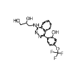 OCC(O)CNc1nnc(-c2ccc(OC(F)(F)F)cc2O)c2ccccc12